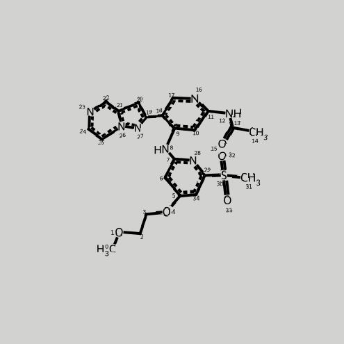 COCCOc1cc(Nc2cc(NC(C)=O)ncc2-c2cc3cnccn3n2)nc(S(C)(=O)=O)c1